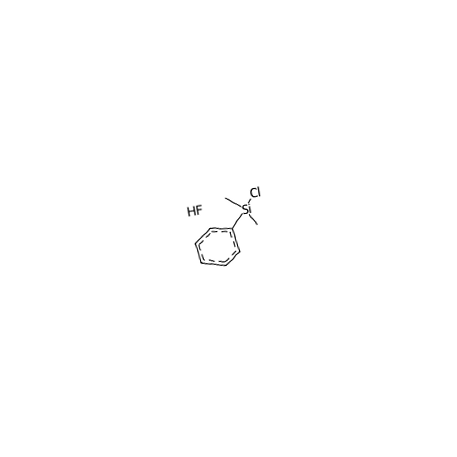 C[Si](C)(Cl)c1ccccc1.F